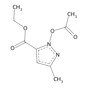 CCOC(=O)c1cc(C)nn1OC(C)=O